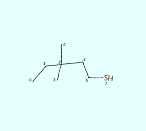 CCC(C)(C)CCS